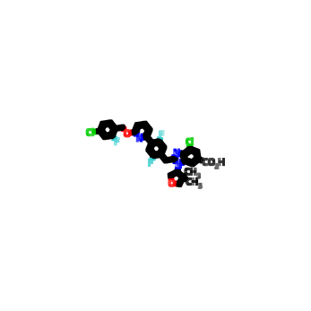 CC1(C)COCC1n1c(Cc2cc(F)c(-c3cccc(OCc4ccc(Cl)cc4F)n3)cc2F)nc2c(Cl)cc(C(=O)O)cc21